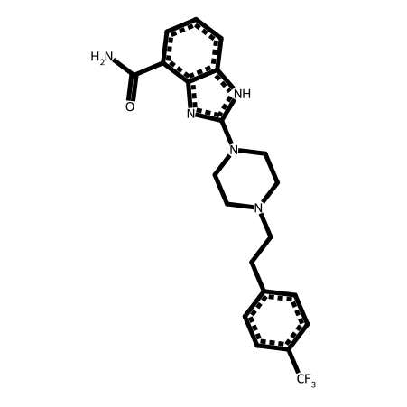 NC(=O)c1cccc2[nH]c(N3CCN(CCc4ccc(C(F)(F)F)cc4)CC3)nc12